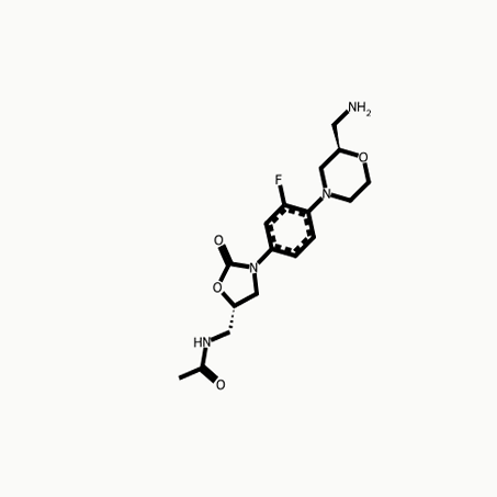 CC(=O)NC[C@H]1CN(c2ccc(N3CCO[C@H](CN)C3)c(F)c2)C(=O)O1